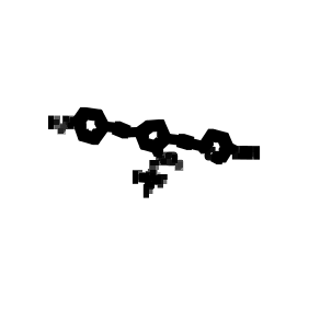 F[B-](F)(F)F.N#[N+]c1ccc(C#Cc2ccc(C#Cc3ccc(N)cc3)cc2[N+](=O)[O-])cc1